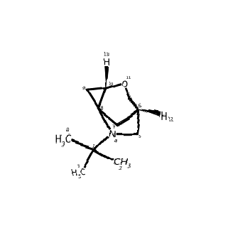 CC(C)(C)N1C[C@@H]2CC13C[C@@H]3O2